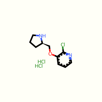 Cl.Cl.Clc1ncccc1OC[C@H]1CCCN1